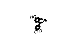 CCN1Cc2cc(O)ccc2C(c2ccc(Cl)c(Cl)c2)C1